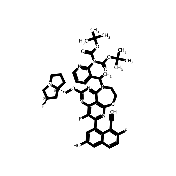 C#Cc1c(F)ccc2cc(O)cc(-c3nc4c5c(nc(OC[C@@]67CCCN6C[C@H](F)C7)nc5c3F)N(C(C)c3cccnc3N(C(=O)OC(C)(C)C)C(=O)OC(C)(C)C)CCO4)c12